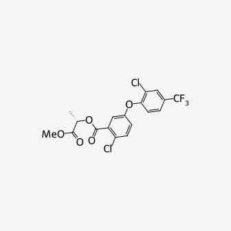 COC(=O)[C@H](C)OC(=O)c1cc(Oc2ccc(C(F)(F)F)cc2Cl)ccc1Cl